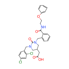 O=C(O)CC1CN(Cc2ccc(Cl)cc2Cl)C(=O)N(Cc2ccccc2C(=O)NCCOc2ccccc2)C1